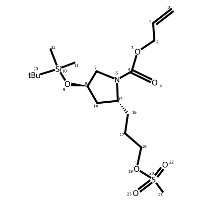 C=CCOC(=O)N1C[C@H](O[Si](C)(C)C(C)(C)C)C[C@H]1CCCOS(C)(=O)=O